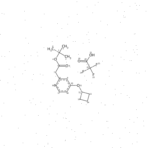 CC(C)(C)OC(=O)Cc1cc(OC2CCC2)ccn1.O=C(O)C(F)(F)F